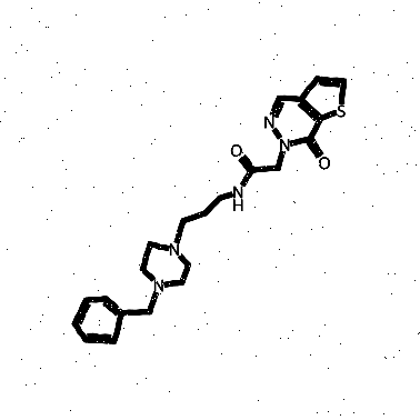 O=C(Cn1ncc2ccsc2c1=O)NCCCN1CCN(Cc2ccccc2)CC1